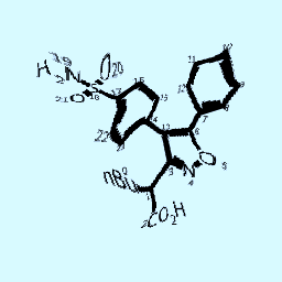 CCCCC(C(=O)O)c1noc(-c2ccccc2)c1-c1ccc(S(N)(=O)=O)cc1